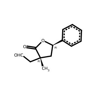 C[C@]1(CC=O)C[C@H](c2ccccc2)OC1=O